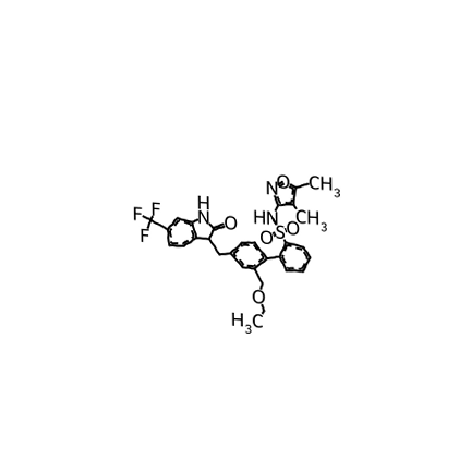 CCOCc1cc(CC2C(=O)Nc3cc(C(F)(F)F)ccc32)ccc1-c1ccccc1S(=O)(=O)Nc1noc(C)c1C